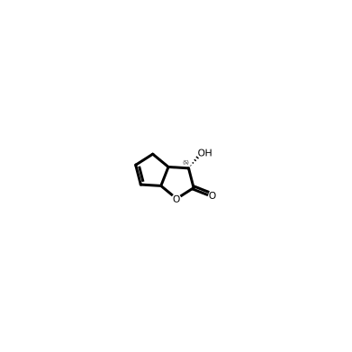 O=C1OC2C=CCC2[C@@H]1O